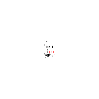 O.[Ce].[MgH2].[NaH]